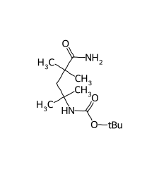 CC(C)(CC(C)(C)C(N)=O)NC(=O)OC(C)(C)C